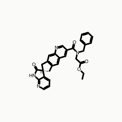 CCOC(=O)CN(Cc1ccccc1)C(=O)c1cnc2cc3c(cc2c1)C[C@@]1(C3)C(=O)Nc2ncccc21